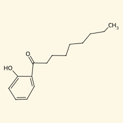 CCCCCCCCC(=O)c1ccccc1O